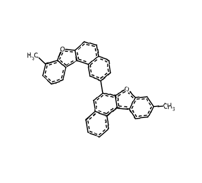 Cc1ccc2c(c1)oc1c(-c3ccc4ccc5oc6c(C)cccc6c5c4c3)cc3ccccc3c12